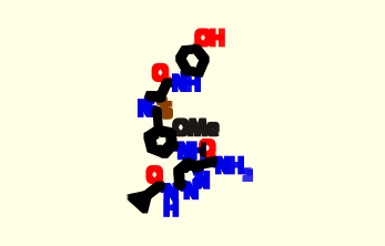 COc1c(Nc2cc(NC(=O)C3CC3)nnc2C(N)=O)cccc1-c1ncc(C(=O)NC2CCC(O)CC2)s1